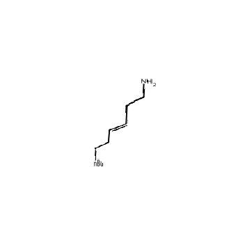 CCCCCCC=CCCN